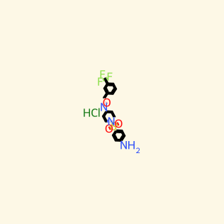 Cl.Nc1ccc(S(=O)(=O)N2CCC(=NOCc3cccc(C(F)(F)F)c3)CC2)cc1